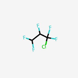 F[C](F)C(F)C(F)(F)Cl